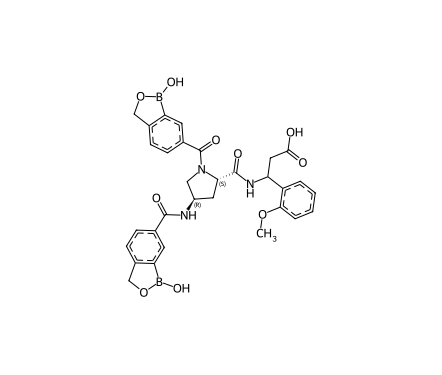 COc1ccccc1C(CC(=O)O)NC(=O)[C@@H]1C[C@@H](NC(=O)c2ccc3c(c2)B(O)OC3)CN1C(=O)c1ccc2c(c1)B(O)OC2